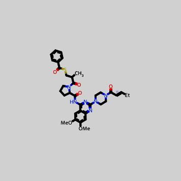 CC/C=C/C(=O)N1CCN(c2nc(NC(=O)C3CCCN3C(=O)C(C)CSC(=O)c3ccccc3)c3cc(OC)c(OC)cc3n2)CC1